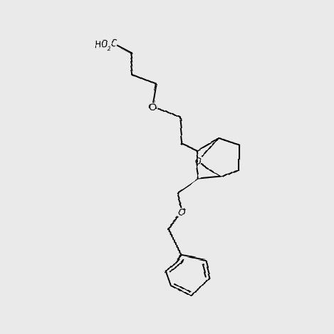 O=C(O)CCCOCCC1C2CCC(O2)C1COCc1ccccc1